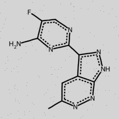 Cc1cc2c(-c3ncc(F)c(N)n3)n[nH]c2nn1